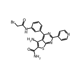 NC(=O)c1sc2nc(-c3ccncc3)nc(-c3cccc(NC(=O)CBr)c3)c2c1N